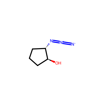 [N-]=[N+]=N[C@H]1CCC[C@@H]1O